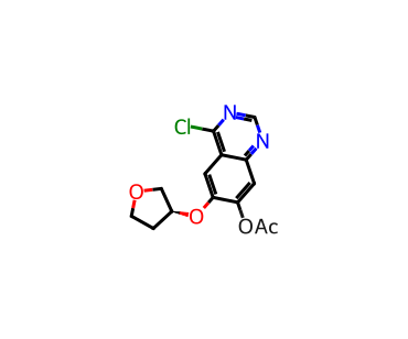 CC(=O)Oc1cc2ncnc(Cl)c2cc1O[C@H]1CCOC1